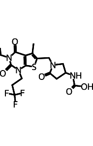 CCn1c(=O)c2c(C)c(CN3CC(NC(=O)O)CC3=O)sc2n(CCC(F)(F)F)c1=O